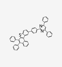 c1ccc(-c2cc(-c3ccccc3)nc(-c3ccc(-c4ccc5sc6c(-c7ccccc7)c(-c7ccccc7)c7ccccc7c6c5c4)cc3)n2)cc1